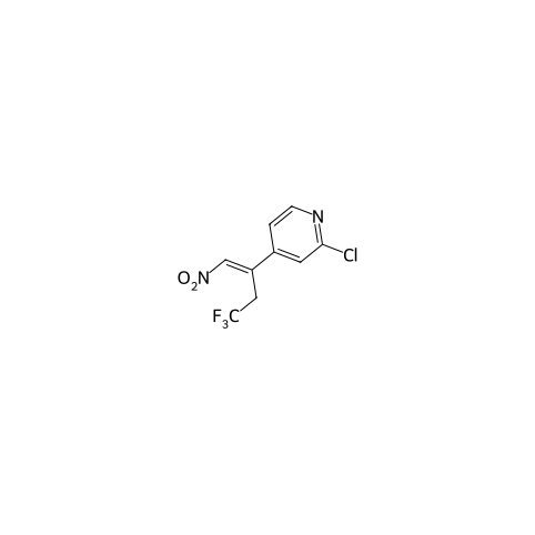 O=[N+]([O-])C=C(CC(F)(F)F)c1ccnc(Cl)c1